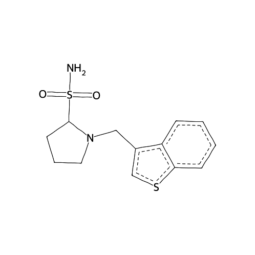 NS(=O)(=O)C1CCCN1Cc1csc2ccccc12